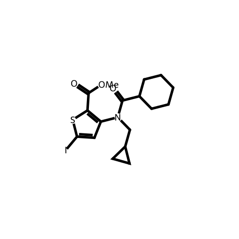 COC(=O)c1sc(I)cc1N(CC1CC1)C(=O)C1CCCCC1